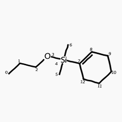 CCCO[Si](C)(C)C1=CCCCC1